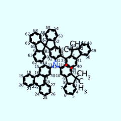 CC1(C)c2ccccc2-c2cc(N(c3ccc4c5ccccc5c5ccccc5c4c3)c3cc4c(cc3-c3cccc5c3C(C)(C)c3ccccc3-5)-c3ccccc3C43c4ccccc4-c4ccccc43)ccc21